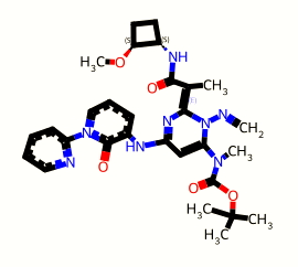 C=NN1C(N(C)C(=O)OC(C)(C)C)=CC(Nc2cccn(-c3ccccn3)c2=O)=N/C1=C(/C)C(=O)N[C@H]1CC[C@@H]1OC